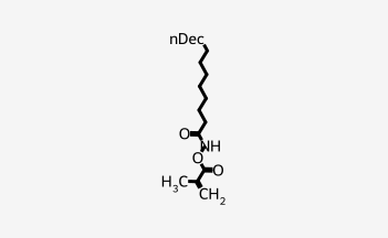 C=C(C)C(=O)ONC(=O)CCCCCCCCCCCCCCCCC